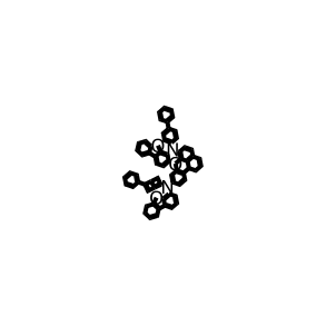 C1=Cc2c(oc3c(N(C4=C5C=C(c6ccccc6)C5C4)c4ccc5c(c4)Oc4c(N(c6ccc(-c7ccccc7)cc6)c6cccc7c6oc6ccccc67)ccc6c4C5CC=C6)cccc23)CC1